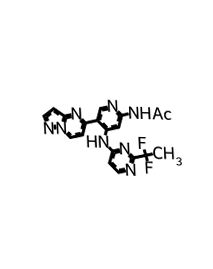 CC(=O)Nc1cc(Nc2ccnc(C(C)(F)F)n2)c(-c2ccn3nccc3n2)cn1